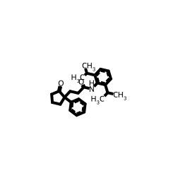 CC(C)c1cccc(C(C)C)c1NC(=O)CCC1(c2ccccc2)CCCC1=O